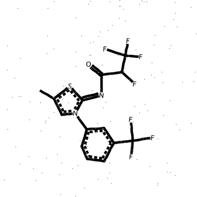 Cc1cn(-c2cccc(C(F)(F)F)c2)c(=NC(=O)C(F)C(F)(F)F)s1